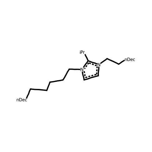 CCCCCCCCCCCCCCC[n+]1ccn(CCCCCCCCCCCC)c1C(C)C